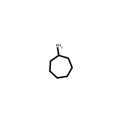 PC1CCCCCC1